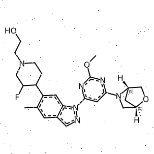 COc1nc(N2C[C@@H]3C[C@H]2CO3)cc(-n2ncc3cc(C)c(C4CCN(CCO)CC4F)cc32)n1